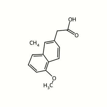 C.COc1cccc2cc(CC(=O)O)ccc12